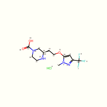 Cl.Cn1nc(C(F)(F)F)cc1OCC[C@@H]1CN(C(=O)O)CCN1